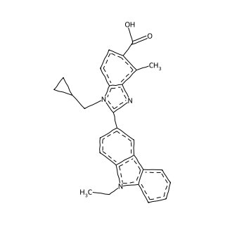 CCn1c2ccccc2c2cc(-c3nc4c(C)c(C(=O)O)ccc4n3CC3CC3)ccc21